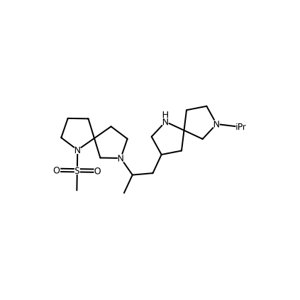 CC(C)N1CCC2(CC(CC(C)N3CCC4(CCCN4S(C)(=O)=O)C3)CN2)C1